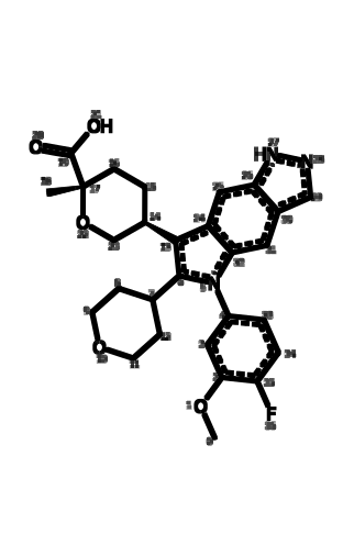 COc1cc(-n2c(C3CCOCC3)c([C@@H]3CC[C@@](C)(C(=O)O)OC3)c3cc4[nH]ncc4cc32)ccc1F